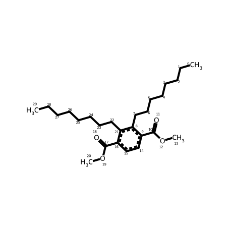 CCCCCCCCc1c(C(=O)OC)ccc(C(=O)OC)c1CCCCCCCC